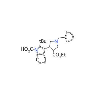 CCOC(=O)C1CN(Cc2ccccc2)CC1c1c(C(C)(C)C)n(C(=O)O)c2ccccc12